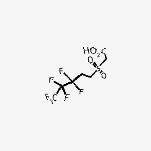 O=C(O)CS(=O)(=O)CCC(F)(F)C(F)(F)C(F)(F)F